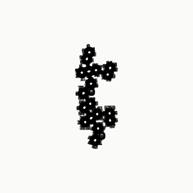 c1ccc2cc(-c3c4ccccc4c(-c4ccc5oc6c(-c7cccc8c(-c9c%10ccccc%10c(-c%10ccc%11oc%12ccccc%12c%11c%10)c%10cc(-c%11cccc%12ccccc%11%12)ccc9%10)cccc78)cccc6c5c4)c4cc(-c5cccc6ccccc56)ccc34)ccc2c1